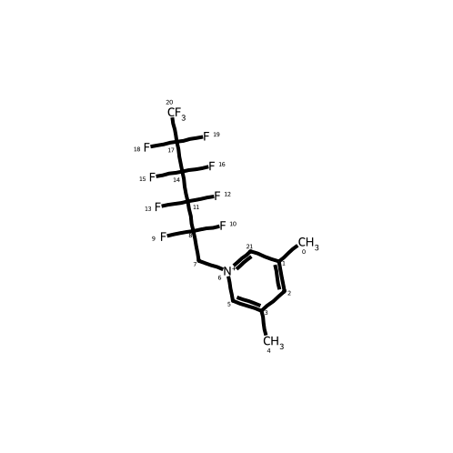 Cc1cc(C)c[n+](CC(F)(F)C(F)(F)C(F)(F)C(F)(F)C(F)(F)F)c1